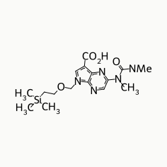 CNC(=O)N(C)c1cnc2c(n1)c(C(=O)O)cn2COCC[Si](C)(C)C